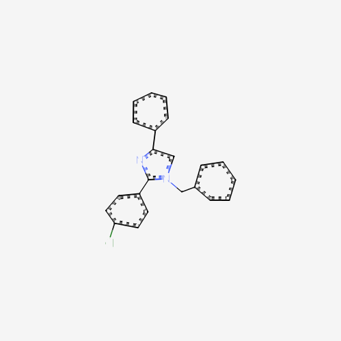 Clc1ccc(-c2nc(-c3ccccc3)cn2Cc2ccccc2)cc1